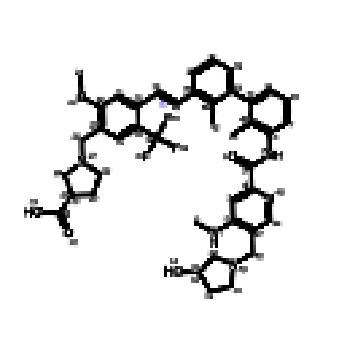 CNc1cc(C(=O)Nc2cccc(-c3cccc(/C=C/c4cc(OC)c(CN5CC[C@@H](C(=O)O)C5)cc4C(F)(F)F)c3C)c2C)ncc1CN1CC[C@@H](O)C1